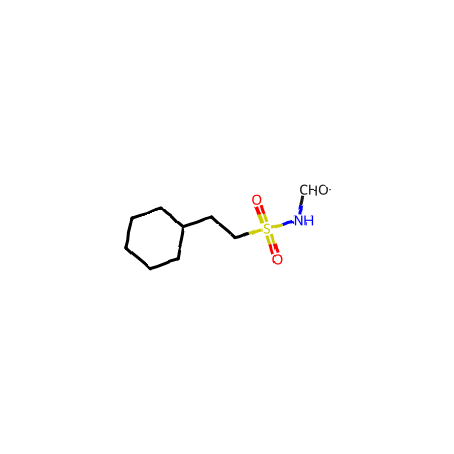 O=[C]NS(=O)(=O)CCC1CCCCC1